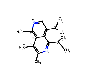 Cc1nc(C(C)C)c2c(C(C)C)cnc(C)c2c1C